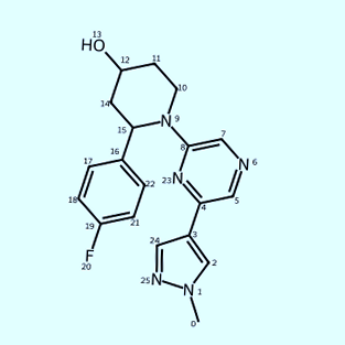 Cn1cc(-c2cncc(N3CCC(O)CC3c3ccc(F)cc3)n2)cn1